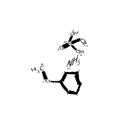 COc1ccccc1.N.O=S(=O)(O)O